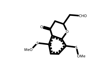 COSc1ccc(SOC)c2c1OC(CC=O)CC2=O